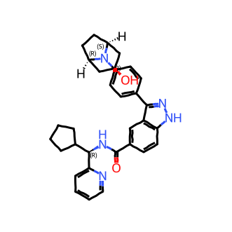 O=C(N[C@@H](c1ccccn1)C1CCCC1)c1ccc2[nH]nc(-c3ccc(N4[C@@H]5CC[C@H]4C[C@@H](O)C5)cc3)c2c1